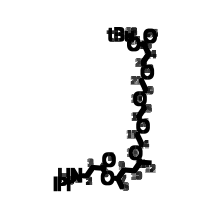 CC(C)NCCC(=O)OC(C)CCC(C)OCCOCCOCCOCCC(=O)OC(C)(C)C